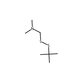 CN(C)CSSC(C)(C)C